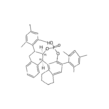 Cc1cc(C)c(-c2cc3c(c4c2OP(=O)(O)O[C@@H]2C(c5c(C)cc(C)cc5C)Cc5ccccc5[C@H]42)CCCC3)c(C)c1